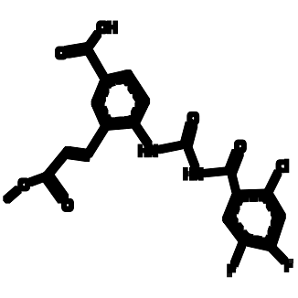 COC(=O)C=Cc1cc(C(=O)O)ccc1NC(=O)NC(=O)c1cc(F)c(F)cc1Cl